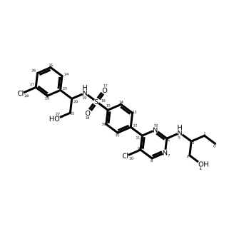 CCC(CO)Nc1ncc(Cl)c(-c2ccc(S(=O)(=O)NC(CO)c3cccc(Cl)c3)cc2)n1